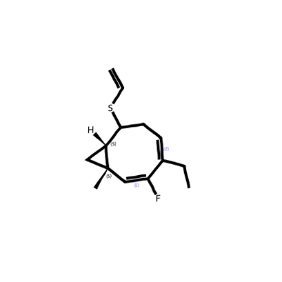 C=CSC1C/C=C(CC)\C(F)=C/[C@]2(C)C[C@H]12